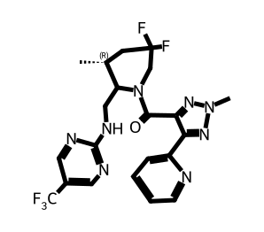 C[C@@H]1CC(F)(F)CN(C(=O)c2nn(C)nc2-c2ccccn2)C1CNc1ncc(C(F)(F)F)cn1